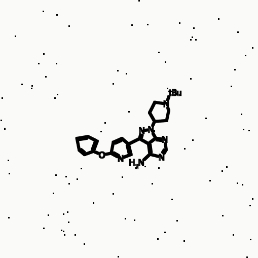 CC(C)(C)N1CCC(n2nc(-c3ccc(Oc4ccccc4)nc3)c3c(N)ncnc32)CC1